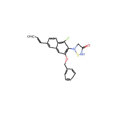 O=C/C=C/c1ccc2c(F)c(N3CC(=O)NS3)c(OCc3ccccc3)cc2c1